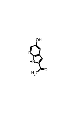 CC(=O)c1cc2cc(O)cnc2[nH]1